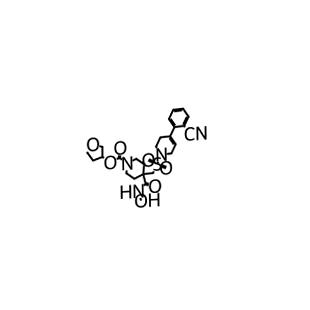 N#Cc1ccccc1C1=CCN(S(=O)(=O)CC2(C(=O)NO)CCN(C(=O)OC3CCOC3)CC2)CC1